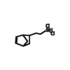 Cl[SiH](Cl)CCC1CC2C=CC1C2